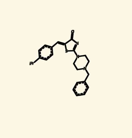 CC(C)c1ccc(/C=C2\SC(N3CCN(Cc4ccccc4)CC3)=NC2=O)cc1